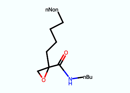 CCCCCCCCCCCCCC1(C(=O)NCCCC)CO1